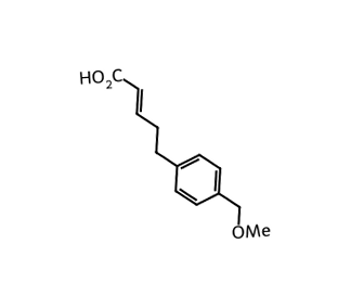 COCc1ccc(CC/C=C/C(=O)O)cc1